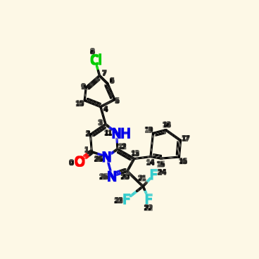 O=c1cc(-c2ccc(Cl)cc2)[nH]c2c(-c3ccccc3)c(C(F)(F)F)nn12